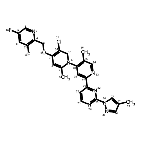 CC1=CC(OCc2ncc(F)cc2F)=C(Cl)CN1c1cc(-c2ccnc(-n3cc(C)cn3)n2)ncc1C